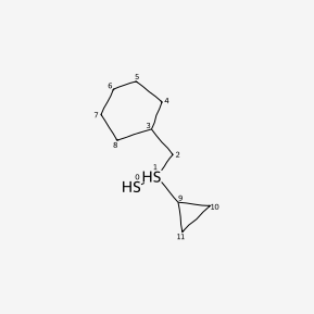 S[SH](CC1CCCCC1)C1CC1